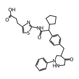 O=C(O)CCc1csc(NC(=O)C(c2ccc(CC3CN(c4ccccc4)NCC3=O)cc2)C2CCCC2)n1